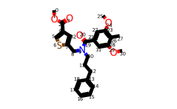 COC(=O)c1csc(CN(CCCc2ccccc2)C(=O)c2cc(OC)c(C)c(OC)c2)c1